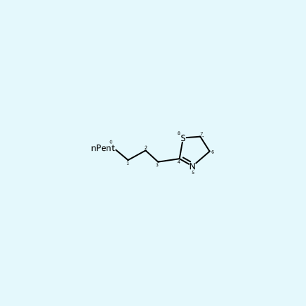 CCCCCCCCC1=NC[CH]S1